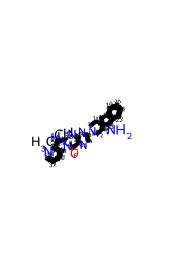 CC1(C)CN(C(=O)c2ncc(N3CCC4(CC3)Cc3ccccc3C4N)nc2N)c2cccnc21